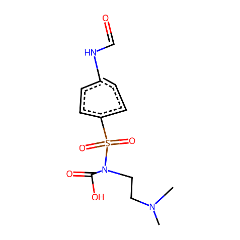 CN(C)CCN(C(=O)O)S(=O)(=O)c1ccc(NC=O)cc1